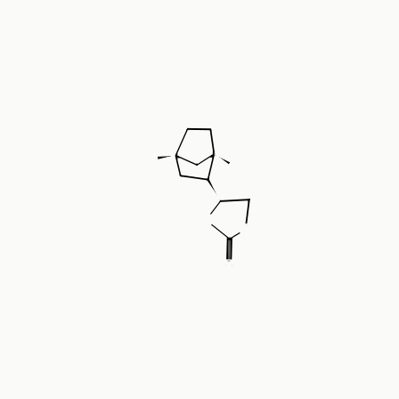 O=C1OC[C@H](C2C[C@@H]3CC[C@H]2C3)O1